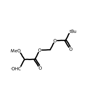 COC([C]=O)C(=O)OCOC(=O)C(C)(C)C